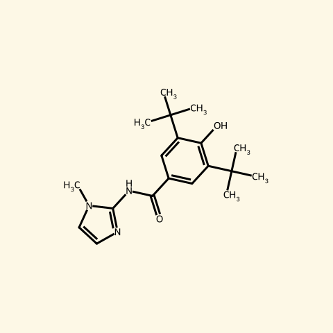 Cn1ccnc1NC(=O)c1cc(C(C)(C)C)c(O)c(C(C)(C)C)c1